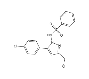 O=S(=O)(Nn1nc(CCl)cc1-c1ccc(Cl)cc1)c1ccccc1